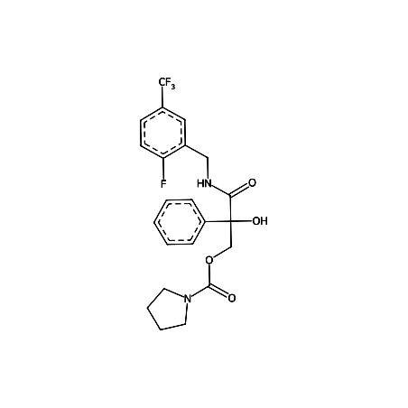 O=C(OCC(O)(C(=O)NCc1cc(C(F)(F)F)ccc1F)c1ccccc1)N1CCCC1